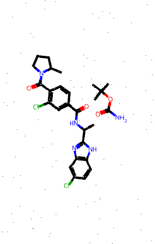 CC(C)(C)OC(N)=O.CC(NC(=O)c1ccc(C(=O)N2CCCC2C)c(Cl)c1)c1nc2cc(Cl)ccc2[nH]1